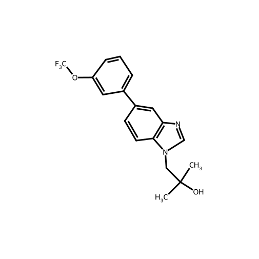 CC(C)(O)Cn1cnc2cc(-c3cccc(OC(F)(F)F)c3)ccc21